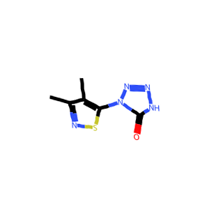 Cc1nsc(-n2nn[nH]c2=O)c1C